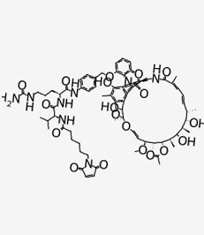 CO[C@H]1/C=C/O[C@@]2(C)Oc3c(C)c(O)c4c(=O)c(c5oc6cccc(OCc7ccc(NC(=O)[C@H](CCCNC(N)=O)NC(=O)[C@@H](NC(=O)CCCCCN8C(=O)C=CC8=O)C(C)C)cc7)c6nc-5c4c3C2O)NC(=O)/C(C)=C\C=C\[C@H](C)[C@H](O)[C@@H](C)[C@@H](O)[C@@H](C)[C@H](OC(C)=O)[C@@H]1C